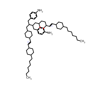 CCCCCCCC1CCC(/C=C/C2CCC(CC(Cc3ccc(N)cc3)C(Cc3ccc(N)cc3)CC3CCC(/C=C/C4CCC(CCCCCCC)CC4)CC3)CC2)CC1